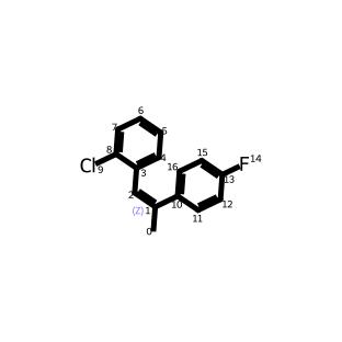 C/C(=C/c1ccccc1Cl)c1ccc(F)cc1